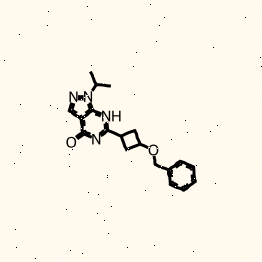 CC(C)n1ncc2c(=O)nc(C3CC(OCc4ccccc4)C3)[nH]c21